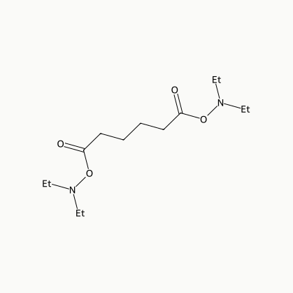 CCN(CC)OC(=O)CCCCC(=O)ON(CC)CC